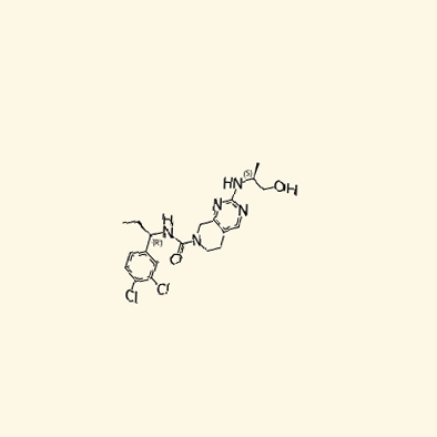 CC[C@@H](NC(=O)N1CCc2cnc(N[C@@H](C)CO)nc2C1)c1ccc(Cl)c(Cl)c1